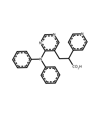 O=C(O)C(Cc1cncnc1N(c1ccccc1)c1ccccc1)c1ccncc1